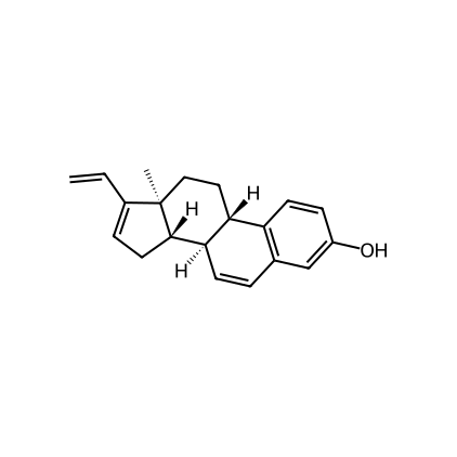 C=CC1=CC[C@H]2[C@@H]3C=Cc4cc(O)ccc4[C@H]3CC[C@]12C